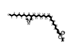 CCCCCCCCCC(CCCCCC/C=C\CCCCCCCC(=O)OCC)CN(C)C